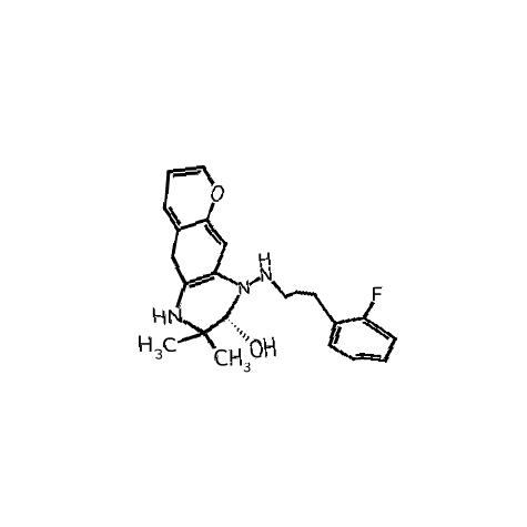 CC1(C)NC2=C(C=C3OC=CC=C3C2)N(NCCc2ccccc2F)[C@@H]1O